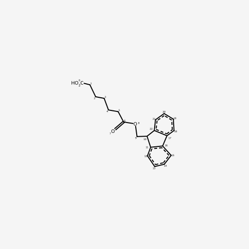 O=C(O)CCCCCC(=O)OCC1c2ccccc2-c2ccccc21